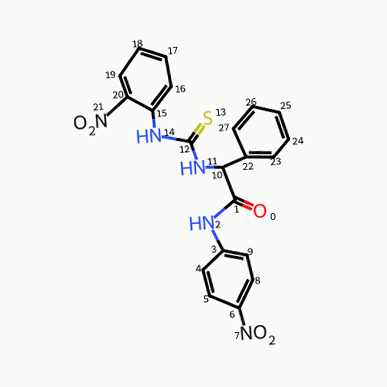 O=C(Nc1ccc([N+](=O)[O-])cc1)C(NC(=S)Nc1ccccc1[N+](=O)[O-])c1ccccc1